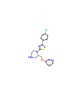 Clc1ccc(-c2csc(N3CCNCC3COc3cccnc3)n2)cc1